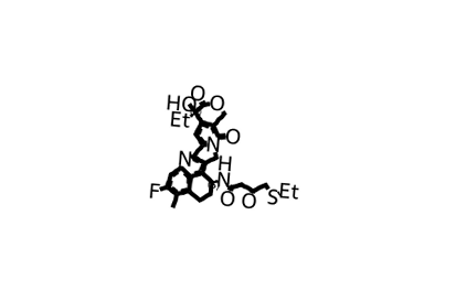 CCSCC(=O)CC(=O)N[C@H]1CCc2c(C)c(F)cc3nc4c(c1c23)Cn1c-4cc2c(c1=O)COC(=O)[C@]2(O)CC